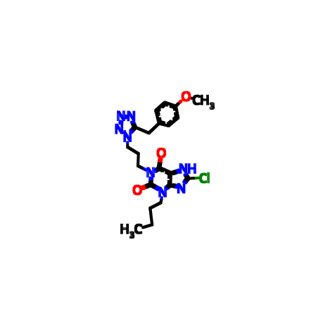 CCCCn1c(=O)n(CCCn2nnnc2Cc2ccc(OC)cc2)c(=O)c2[nH]c(Cl)nc21